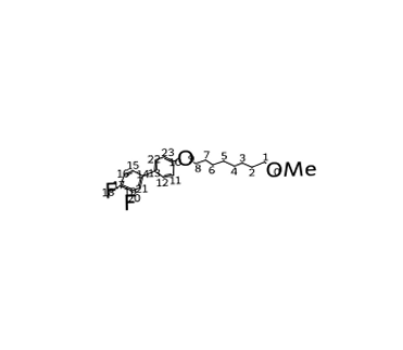 COCCCCCCCCOc1ccc(-c2ccc(F)c(F)c2)cc1